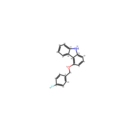 Fc1ccc(COc2cccc3[nH]c4ccccc4c23)cc1